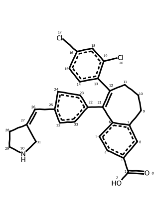 O=C(O)c1ccc2c(c1)CCCC(c1ccc(Cl)cc1Cl)=C2c1ccc(/C=C2/CCNC2)cc1